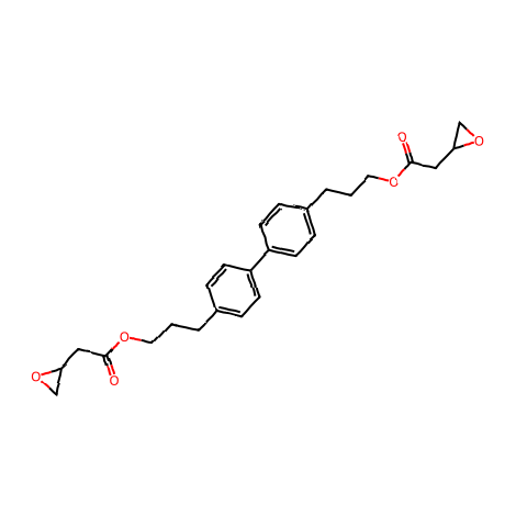 O=C(CC1CO1)OCCCc1ccc(-c2ccc(CCCOC(=O)CC3CO3)cc2)cc1